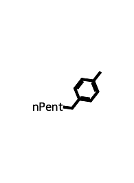 [CH2]CCCCCc1ccc(C)cc1